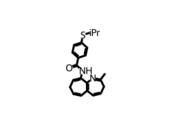 CC1=NC2=C(C=CCC=C2NC(=O)c2ccc(SC(C)C)cc2)C=CC1